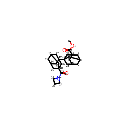 COC(=O)C12CC3CC(C1)CC(C14CC5CC(CC(C(=O)N6CCC6)(C5)C1)C4)(C3)C2